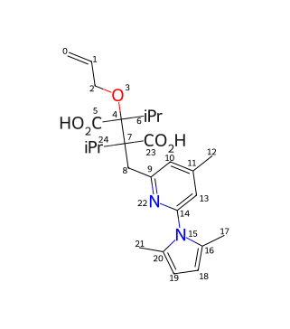 C=CCOC(C(=O)O)(C(C)C)C(Cc1cc(C)cc(-n2c(C)ccc2C)n1)(C(=O)O)C(C)C